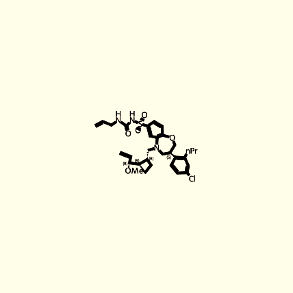 C=CCNC(=O)NS(=O)(=O)c1ccc2c(c1)N(C[C@@H]1CC[C@H]1[C@@H](C=C)OC)C[C@H](c1ccc(Cl)cc1CCC)CO2